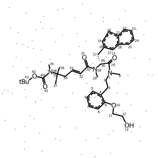 CN(CCc1ccccc1OCCO)C(=O)[C@@H](Cc1ccc2ccccc2c1)N(C)C(=O)C=CCC(C)(C)N(C)C(=O)OC(C)(C)C